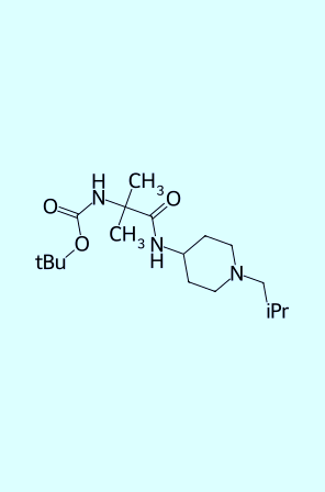 CC(C)CN1CCC(NC(=O)C(C)(C)NC(=O)OC(C)(C)C)CC1